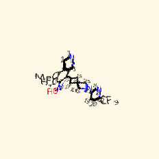 COc1ccncc1C(C(C)=NO)C1CC2(C1)CN(c1ccc(C(F)(F)F)nc1)C2